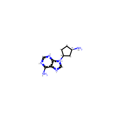 Nc1ncnc2c1ncn2[C]1CC[C@@H](N)C1